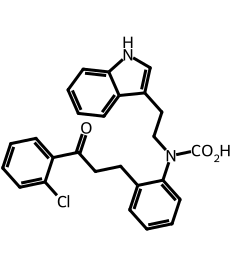 O=C(CCc1ccccc1N(CCc1c[nH]c2ccccc12)C(=O)O)c1ccccc1Cl